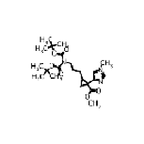 COC(=O)C1(c2cn(C)cn2)CC1CCCN(C(=O)OC(C)(C)C)C(=O)OC(C)(C)C